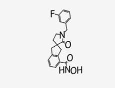 O=C(NO)c1cccc2c1CC1(CCN(Cc3cccc(F)c3)C1=O)C2